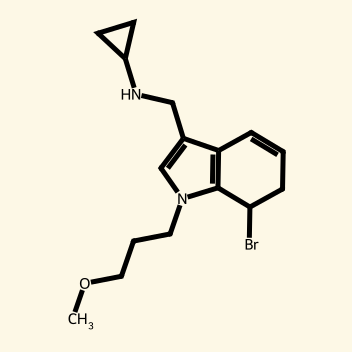 COCCCn1cc(CNC2CC2)c2c1C(Br)CC=C2